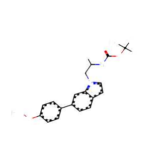 COc1ccc(-c2ccc3ccn(CC(C)NC(=O)OC(C)(C)C)c3c2)cc1